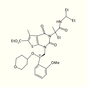 CCOC(=O)c1sc2c(c1C)c(=O)n(C(C)(CC)C(=O)NC(CC)CC)c(=O)n2C[C@H](OC1CCOCC1)c1ccccc1OC